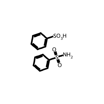 NS(=O)(=O)c1ccccc1.O=S(=O)(O)c1ccccc1